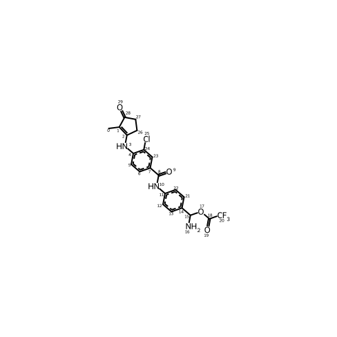 CC1=C(Nc2ccc(C(=O)Nc3ccc(C(N)OC(=O)C(F)(F)F)cc3)cc2Cl)CCC1=O